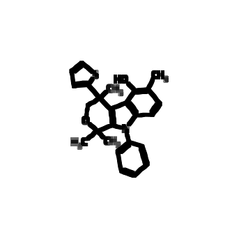 Cc1ccc2c(c1O)c1c(n2-c2ccccc2)C(C)(C)OCC1(C)c1cccs1